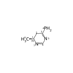 C[C@H]1CC(P)=NC=N1